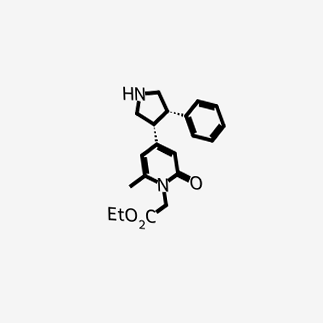 CCOC(=O)Cn1c(C)cc([C@@H]2CNC[C@@H]2c2ccccc2)cc1=O